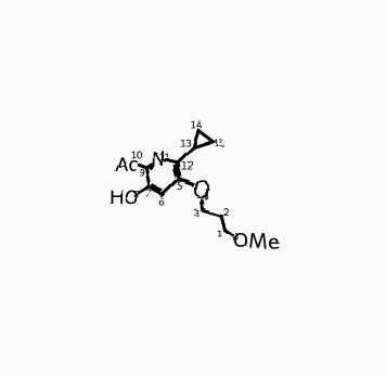 COCCCOc1cc(O)c(C(C)=O)nc1C1CC1